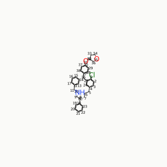 Clc1ccc(CCC[C@@H](CNCc2ccccc2)c2ccccc2)cc1Cc1ccc(O[C@H]2CCOC2)cc1